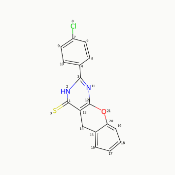 S=c1[nH]c(-c2ccc(Cl)cc2)nc2c1Cc1ccccc1O2